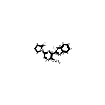 Nc1ncc(N2CCCC2=O)nc1-c1nc2ccccc2[nH]1